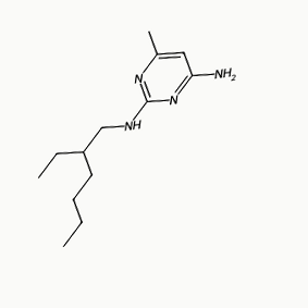 CCCCC(CC)CNc1nc(C)cc(N)n1